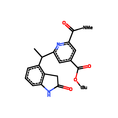 CNC(=O)c1cc(C(=O)OC(C)(C)C)cc(C(C)c2cccc3c2CC(=O)N3)n1